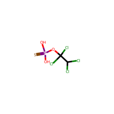 OP(O)(=S)OC(Cl)(Cl)C(Cl)Cl